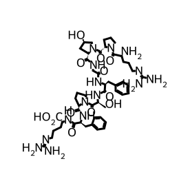 NC(N)=NCCC[C@H](NC(=O)[C@H](Cc1ccccc1)NC(=O)[C@@H]1CCCN1C(=O)[C@H](CO)NC(=O)[C@H](Cc1ccccc1)NC(=O)CNC(=O)[C@@H]1C[C@@H](O)CN1C(=O)[C@@H]1CCCN1C(=O)[C@@H](N)CCCN=C(N)N)C(=O)O